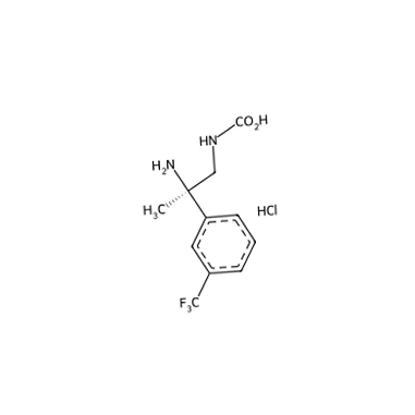 C[C@](N)(CNC(=O)O)c1cccc(C(F)(F)F)c1.Cl